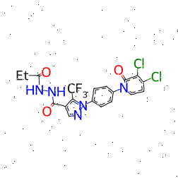 CCC(=O)NNC(=O)c1cnn(-c2ccc(-n3ccc(Cl)c(Cl)c3=O)cc2)c1C(F)(F)F